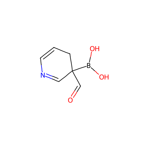 O=CC1(B(O)O)C=NC=CC1